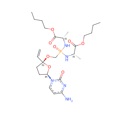 C=C[C@@]1(OCP(=O)(N[C@@H](C)C(=O)OCCCC)N[C@@H](C)C(=O)OCCCC)CC[C@H](n2ccc(N)nc2=O)O1